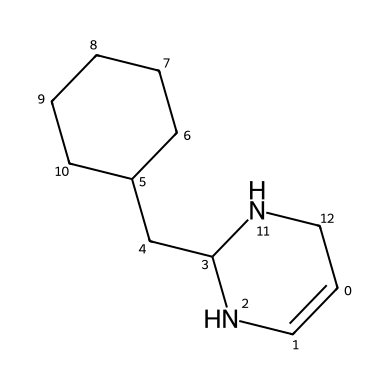 C1=CNC(CC2CCCCC2)NC1